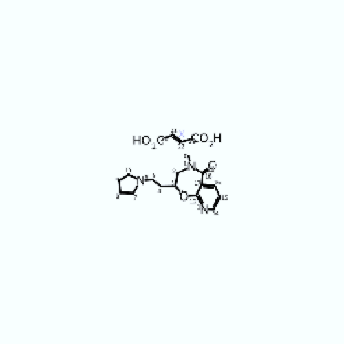 CN1CC(CCN2CCCC2)Oc2ncccc2C1=O.O=C(O)/C=C/C(=O)O